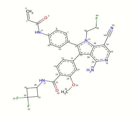 C=CC(=O)Nc1ccc(-c2c(-c3ccc(C(=O)NC4CC(F)(F)C4)c(OC)c3)c3c(N)ncc(C#N)c3n2CCF)cc1